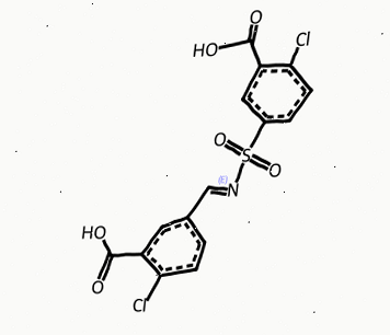 O=C(O)c1cc(/C=N/S(=O)(=O)c2ccc(Cl)c(C(=O)O)c2)ccc1Cl